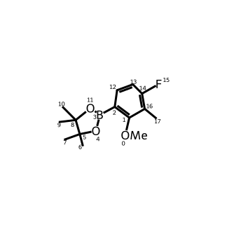 COc1c(B2OC(C)(C)C(C)(C)O2)ccc(F)c1C